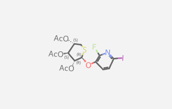 CC(=O)O[C@@H]1[C@@H](OC(C)=O)[C@H](OC(C)=O)CS[C@H]1Oc1ccc(I)nc1F